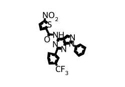 O=C(Nc1nc(-c2cccc(C(F)(F)F)c2)nc2c1cnn2-c1ccccc1)c1ccc([N+](=O)[O-])s1